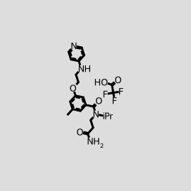 Cc1cc(OCCNc2ccncc2)cc(C(=O)N(CCC(N)=O)C(C)C)c1.O=C(O)C(F)(F)F